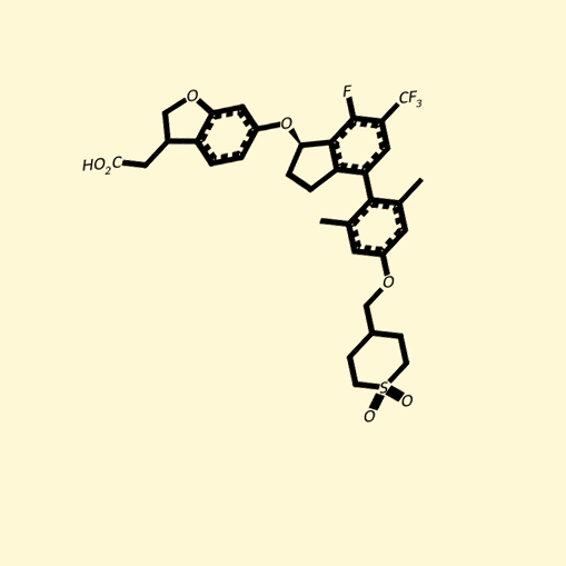 Cc1cc(OCC2CCS(=O)(=O)CC2)cc(C)c1-c1cc(C(F)(F)F)c(F)c2c1CC[C@H]2Oc1ccc2c(c1)OCC2CC(=O)O